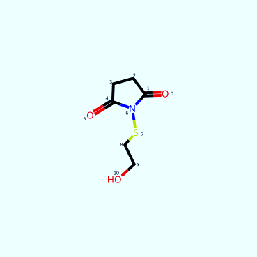 O=C1CCC(=O)N1SCCO